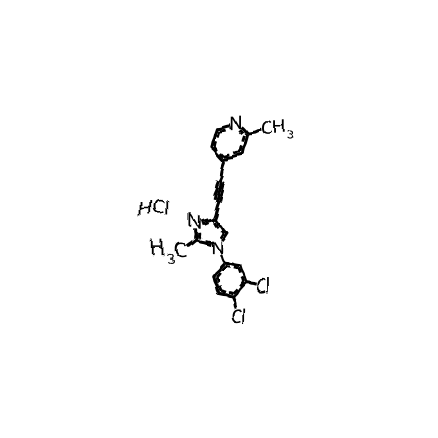 Cc1cc(C#Cc2cn(-c3ccc(Cl)c(Cl)c3)c(C)n2)ccn1.Cl